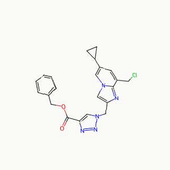 O=C(OCc1ccccc1)c1cn(Cc2cn3cc(C4CC4)cc(CCl)c3n2)nn1